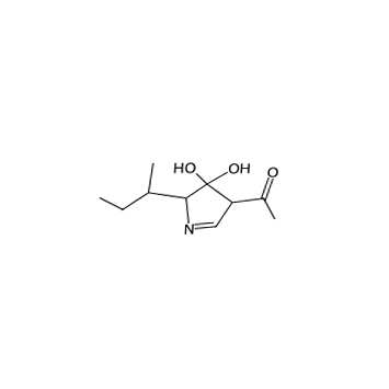 CCC(C)C1N=CC(C(C)=O)C1(O)O